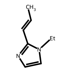 CC=Cc1nccn1CC